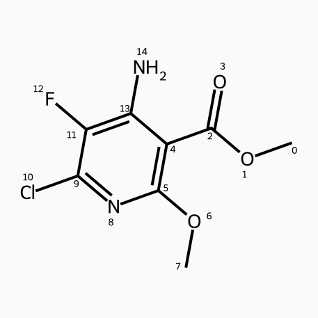 COC(=O)c1c(OC)nc(Cl)c(F)c1N